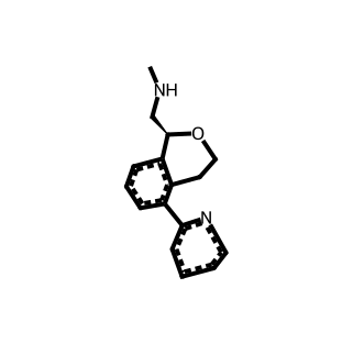 CNC[C@H]1OCCc2c(-c3ccccn3)cccc21